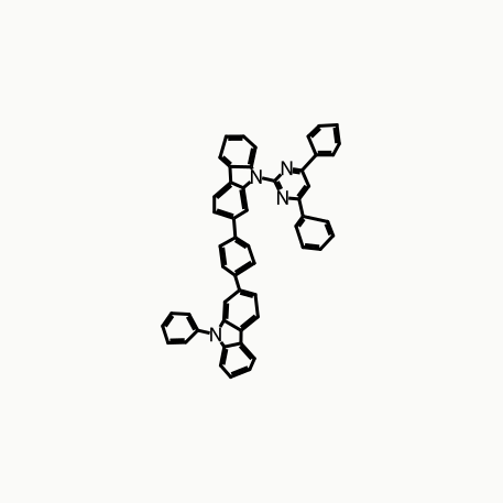 c1ccc(-c2cc(-c3ccccc3)nc(-n3c4ccccc4c4ccc(-c5ccc(-c6ccc7c8ccccc8n(-c8ccccc8)c7c6)cc5)cc43)n2)cc1